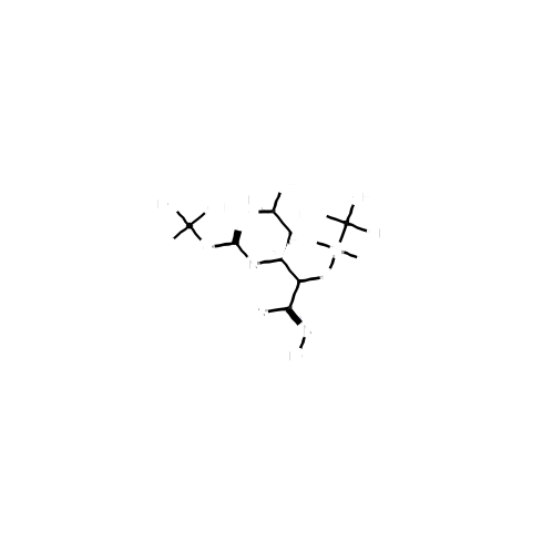 CC(C)C[C@H](NC(=O)OC(C)(C)C)C(O[Si](C)(C)C(C)(C)C)/C(N)=N/O